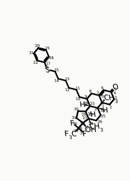 C[C@]12CCC(=O)C=C1CC(CCCCCCSc1ccccc1)[C@@H]1[C@H]2CC[C@@]2(C)[C@H]1CCC2(O)C(F)(F)C(F)(F)F